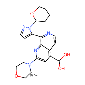 C[C@@H]1COCCN1c1cc(C(O)O)c2ccnc(-c3ccnn3C3CCCCO3)c2n1